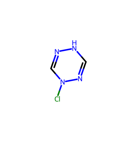 ClN1C=NNC=N1